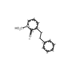 O=C(O)n1cccc(CCc2ccccc2)c1=O